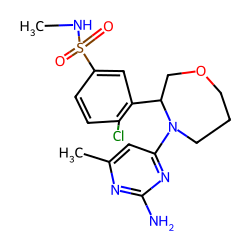 CNS(=O)(=O)c1ccc(Cl)c(C2COCCCN2c2cc(C)nc(N)n2)c1